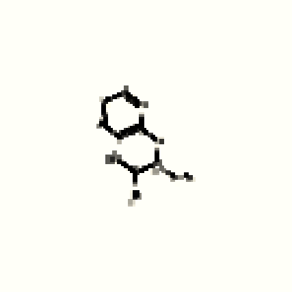 CC(=O)N[C@@H](Cc1ccccc1)C(O)C(C)C